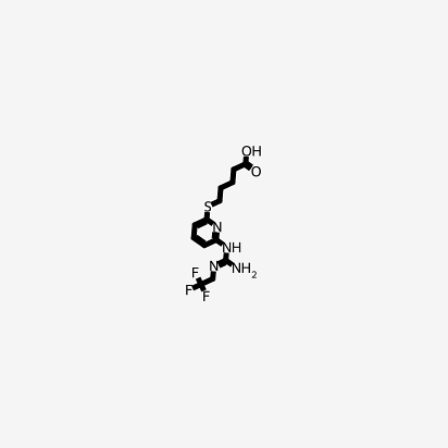 NC(=NCC(F)(F)F)Nc1cccc(SCCCCC(=O)O)n1